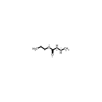 CCCOC(=O)NNC